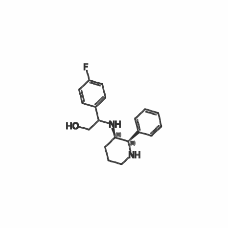 OCC(N[C@@H]1CCCN[C@@H]1c1ccccc1)c1ccc(F)cc1